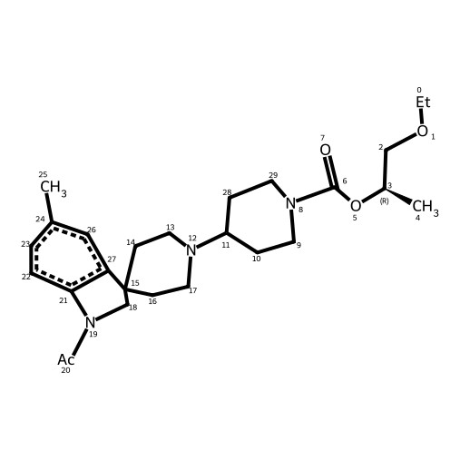 CCOC[C@@H](C)OC(=O)N1CCC(N2CCC3(CC2)CN(C(C)=O)c2ccc(C)cc23)CC1